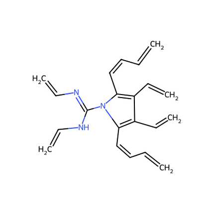 C=C/C=C\c1c(C=C)c(C=C)c(/C=C\C=C)n1/C(=N/C=C)NC=C